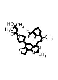 Cc1nc(CC[C@H](C)c2cccc(C(F)F)c2F)c2cc(C3CCN(C(=O)CC(C)(C)O)CC3)c3c(c2n1)CCO3